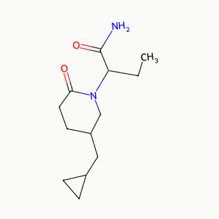 CCC(C(N)=O)N1CC(CC2CC2)CCC1=O